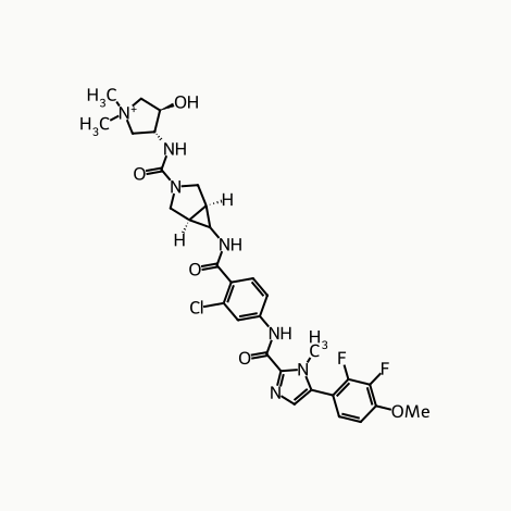 COc1ccc(-c2cnc(C(=O)Nc3ccc(C(=O)NC4[C@H]5CN(C(=O)N[C@@H]6C[N+](C)(C)C[C@H]6O)C[C@@H]45)c(Cl)c3)n2C)c(F)c1F